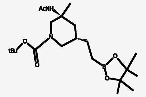 CC(=O)N[C@]1(C)C[C@H](CCB2OC(C)(C)C(C)(C)O2)CN(C(=O)OC(C)(C)C)C1